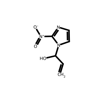 C=CC(O)n1ccnc1[N+](=O)[O-]